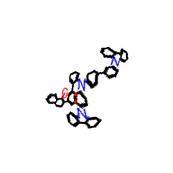 c1cc(-c2ccc(N(c3ccc(-n4c5ccccc5c5ccccc54)cc3)c3ccccc3-c3cccc4c3oc3c5ccccc5ccc43)cc2)cc(-n2c3ccccc3c3ccccc32)c1